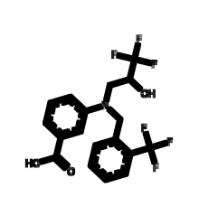 O=C(O)c1cccc(N(Cc2ccccc2C(F)(F)F)CC(O)C(F)(F)F)c1